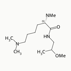 CN[C@@H](CCCCN(C)C)C(=O)NCC(C)OC